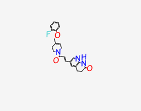 O=C1CCc2cc(C=CC(=O)N3CC=C(COc4ccccc4F)CC3)cnc2N1